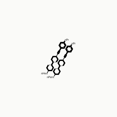 CCCCCC[C@H]1CC[C@H]([C@H]2CC[C@H](C#Cc3ccc(CCC)cc3)CC2)CC1.CCCCC[C@H]1CC[C@H]([C@H]2CC[C@H](C#Cc3ccc(CCC)cc3)CC2)CC1